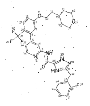 O=C(Nc1cc(-c2cc(OCCC3CCOCC3)ccc2C(F)(F)F)ccn1)c1nnc(Cc2ccccc2F)[nH]1